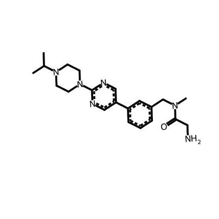 CC(C)N1CCN(c2ncc(-c3cccc(CN(C)C(=O)CN)c3)cn2)CC1